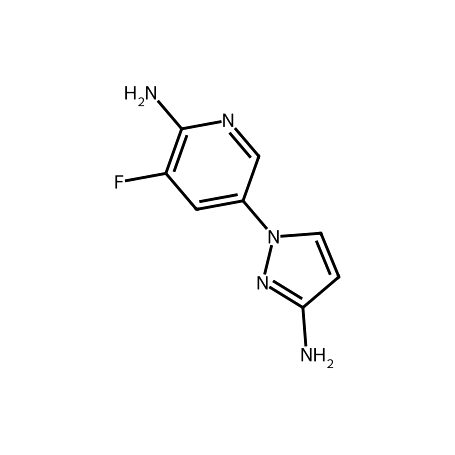 Nc1ccn(-c2cnc(N)c(F)c2)n1